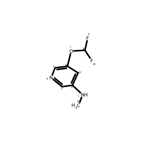 CNc1cncc(OC(F)F)c1